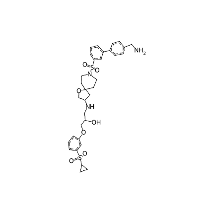 NCc1ccc(-c2cccc(S(=O)(=O)N3CCC4(CC3)CC(NCC(O)COc3cccc(S(=O)(=O)C5CC5)c3)CO4)c2)cc1